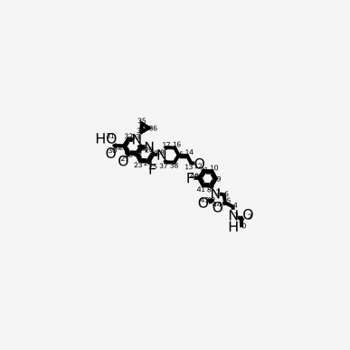 CC(=O)NCC1CN(c2ccc(OCC=C3CCN(c4nc5c(cc4F)c(=O)c(C(=O)O)cn5C4CC4)CC3)c(F)c2)C(=O)O1